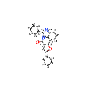 O=c1c2cc(-c3ccccc3)oc2c2cccc3nc(-c4ccccc4)n1c32